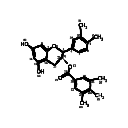 Cc1ccc(C2Oc3cc(O)cc(O)c3C[C@H]2OC(=O)c2cc(C)c(C)c(C)c2)cc1C